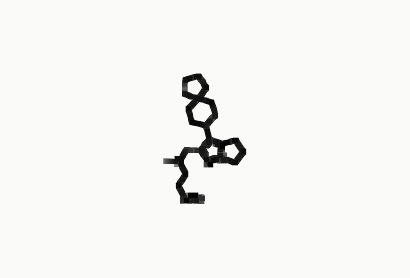 CNCCN(C)Cc1nn2c(c1C1CCC3(CCCC3)CC1)CCC2